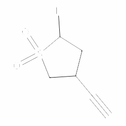 C#CC1CC(F)S(=O)(=O)C1